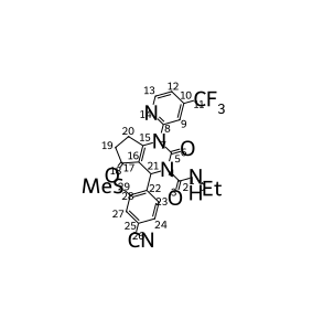 CCNC(=O)N1C(=O)N(c2cc(C(F)(F)F)ccn2)C2=C(C(=O)CC2)C1c1ccc(C#N)cc1SC